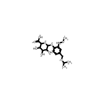 CSNc1cc(COC(C)C)ccc1OC1OC(C(=O)O)C(O)C(O)C1O